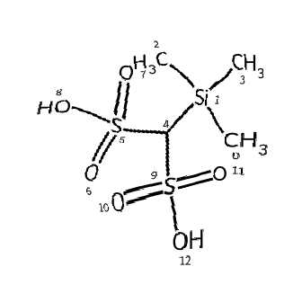 C[Si](C)(C)C(S(=O)(=O)O)S(=O)(=O)O